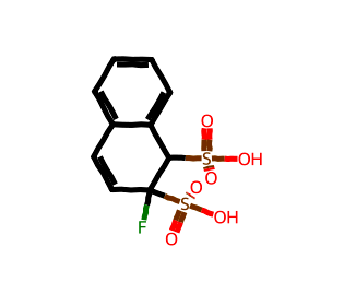 O=S(=O)(O)C1c2ccccc2C=CC1(F)S(=O)(=O)O